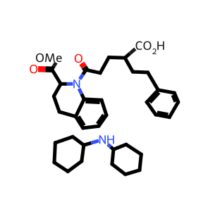 C1CCC(NC2CCCCC2)CC1.COC(=O)C1CCc2ccccc2N1C(=O)CCC(CCc1ccccc1)C(=O)O